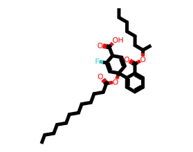 CCCCCCCCCCCC(=O)OC1(c2ccccc2C(=O)OC(C)CCCCCC)C=CC(C(=O)O)C(F)=C1